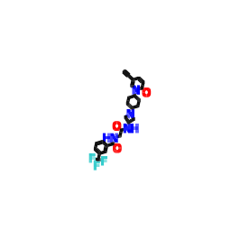 C#Cc1ccc(=O)n(C2CCC(N3CC(NC(=O)CNC(=O)c4cccc(C(F)(F)F)c4)C3)CC2)c1